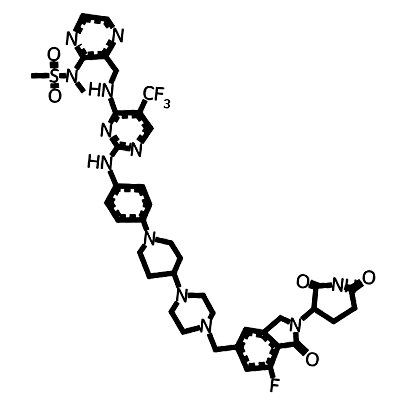 CN(c1nccnc1CNc1nc(Nc2ccc(N3CCC(N4CCN(Cc5cc(F)c6c(c5)CN(C5CCC(=O)NC5=O)C6=O)CC4)CC3)cc2)ncc1C(F)(F)F)S(C)(=O)=O